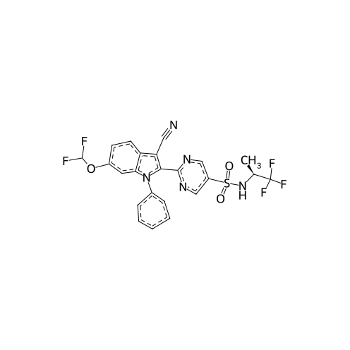 C[C@H](NS(=O)(=O)c1cnc(-c2c(C#N)c3ccc(OC(F)F)cc3n2-c2ccccc2)nc1)C(F)(F)F